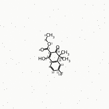 CCOC(=O)C1=C(O)c2ccc(F)cc2C(C)(C)C1=O